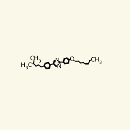 CC/C=C\CCCCOc1ccc(-c2ncc(-c3ccc(CCC[C@@H](C)CC)cc3)cn2)cc1